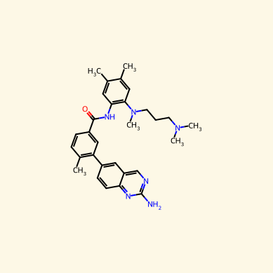 Cc1cc(NC(=O)c2ccc(C)c(-c3ccc4nc(N)ncc4c3)c2)c(N(C)CCCN(C)C)cc1C